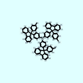 Cc1ccc(C2(c3ccc(N(c4ccc(C5(c6ccc(C)cc6)c6ccccc6-c6ccccc65)cc4)c4ccc(C5(c6ccc(C)cc6)c6ccccc6-c6ccccc65)cc4)cc3)c3ccccc3-c3ccccc32)cc1